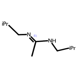 C/C(=N\CC(C)C)NCC(C)C